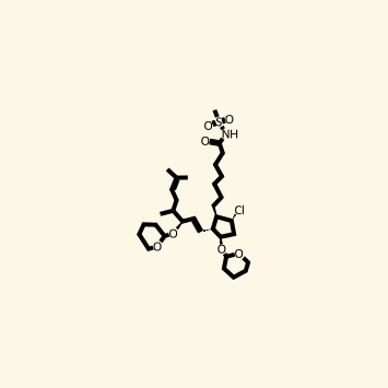 CC(C)=CCC(C)[C@@H](C=C[C@@H]1[C@@H](CCCCCCC(=O)NS(C)(=O)=O)[C@H](Cl)C[C@H]1OC1CCCCO1)OC1CCCCO1